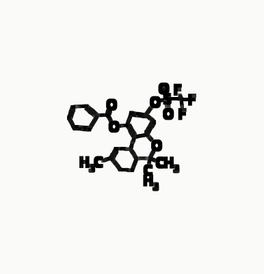 CC1=CC2c3c(OC(=O)c4ccccc4)cc(OS(=O)(=O)C(F)(F)F)cc3OC(C)(C)C2CC1